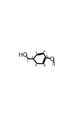 OCC1C=CC(OI)=CC1